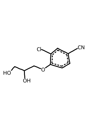 N#Cc1ccc(OCC(O)CO)c(Cl)c1